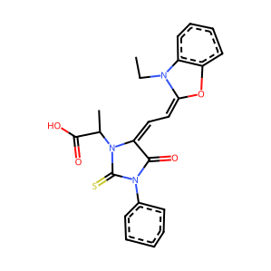 CCN1C(=CC=C2C(=O)N(c3ccccc3)C(=S)N2C(C)C(=O)O)Oc2ccccc21